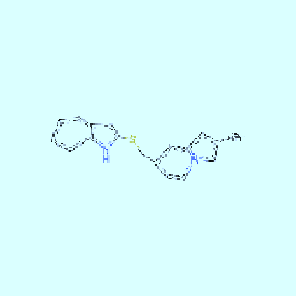 CC(C)c1cc2cc(CSc3cc4ccccc4[nH]3)ccn2c1